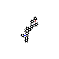 C[Si]1(C)c2cc(N(c3ccccc3)c3ccc4ccccc4c3)ccc2-c2ccc(-c3ccc(N(c4ccccc4)c4cccc5c4oc4ccccc45)cc3)c3cccc1c23